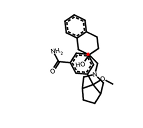 COC1(c2cccc(C(N)=O)c2)C2CCC1CN(CC1(O)CCc3ccccc3C1)C2